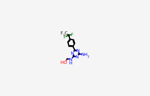 Nc1nc(NCO)nc(-c2ccc(C(F)(F)C(F)(F)F)cc2)n1